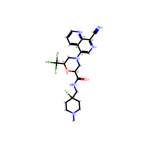 CN1CCC(F)(CNC(=O)C2CN(c3cnc(C#N)c4ncccc34)CC(C(F)(F)F)O2)CC1